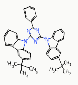 CC(C)(C)c1ccc2c(c1)c1ccccc1n2-c1nc(-c2ccccc2)nc(-n2c3ccccc3c3cc(C(C)(C)C)ccc32)n1